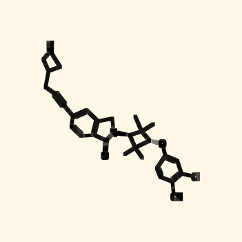 CC1(C)[C@H](Oc2ccc(C#N)c(Cl)c2)C(C)(C)[C@H]1N1Cc2cc(C#CCC3CNC3)ccc2C1=O